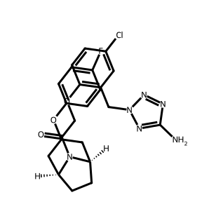 Nc1nnn(Cc2cc(Cl)ccc2OCC(=O)N2[C@@H]3CC[C@H]2CC(Oc2ccc(F)cc2)C3)n1